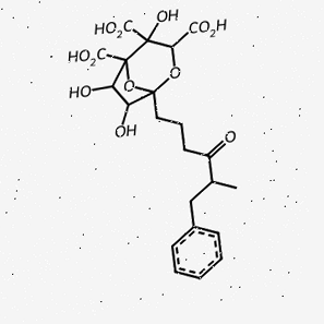 CC(Cc1ccccc1)C(=O)CCCC12OC(C(=O)O)C(O)(C(=O)O)C(C(=O)O)(O1)C(O)C2O